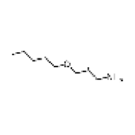 CCCCCOC[CH]CN